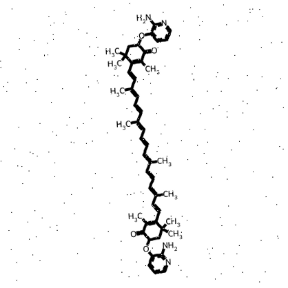 CC1=C(/C=C/C(C)=C/C=C/C(C)=C/C=C/C=C(C)/C=C/C=C(C)/C=C/C2=C(C)C(=O)C(Oc3cccnc3N)CC2(C)C)C(C)(C)CC(Oc2cccnc2N)C1=O